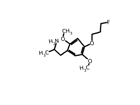 COc1cc(OCCCF)c(OC)cc1CC(C)N